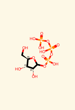 O=P(O)(O)OP(=O)(O)OP(=O)(O)OC1O[C@H](CO)[C@@H](O)[C@H]1O